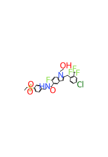 CCS(=O)(=O)c1ccc(CNC(=O)c2cc3cc(Cc4ccc(Cl)cc4C(F)(F)F)n(CCO)c3cc2F)cc1